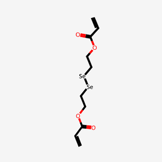 C=CC(=O)OCC[Se][Se]CCOC(=O)C=C